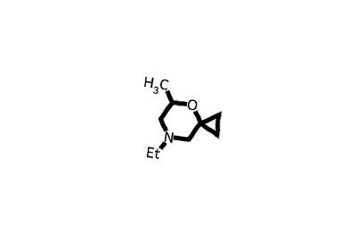 CCN1CC(C)OC2(CC2)C1